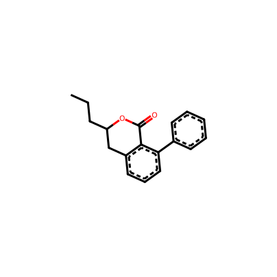 CCCC1Cc2cccc(-c3ccccc3)c2C(=O)O1